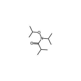 CC(C)ON(C(=O)C(C)C)C(C)C